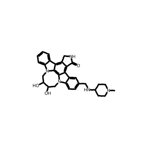 CN1CCC(NCc2ccc3c(c2)c2c4c(c5c6ccccc6n6c5c2n3CC(O)C(O)C6)CNC4=O)CC1